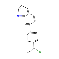 N#CC(Br)c1ccc(-c2ccc3cccnc3c2)cc1